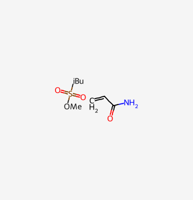 C=CC(N)=O.CCC(C)S(=O)(=O)OC